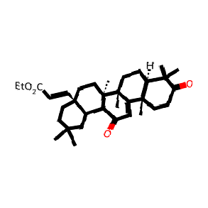 CCOC(=O)/C=C/[C@]12CCC(C)(C)CC1C1C(=O)C=C3[C@@]4(C)CCC(=O)C(C)(C)[C@@H]4CC[C@@]3(C)[C@]1(C)CC2